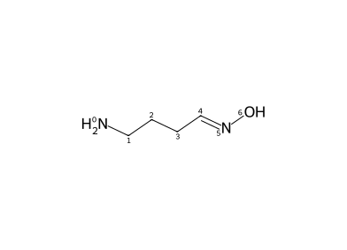 NCCCC=NO